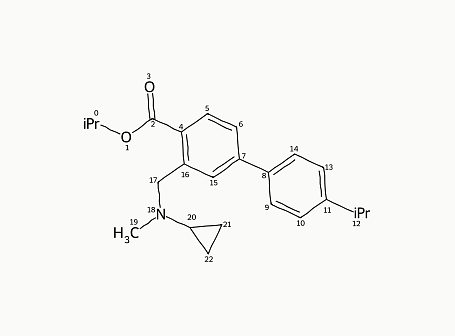 CC(C)OC(=O)c1ccc(-c2ccc(C(C)C)cc2)cc1CN(C)C1CC1